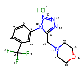 Cl.FC(F)(F)c1cccc(-n2nnnc2CN2CCOCC2)c1